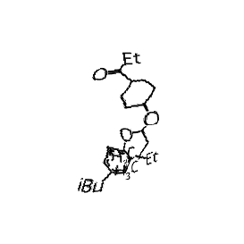 CCC(=O)C1CCC(OC(CC(C)(C)CC)Oc2ccc(C(C)CC)cc2)CC1